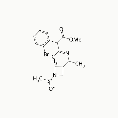 COC(=O)C(/C(C)=N/C(C)C1CN([S+](C)[O-])C1)c1ccccc1Br